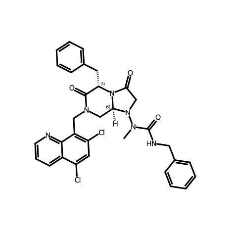 CN(C(=O)NCc1ccccc1)N1CC(=O)N2[C@@H](Cc3ccccc3)C(=O)N(Cc3c(Cl)cc(Cl)c4cccnc34)C[C@@H]21